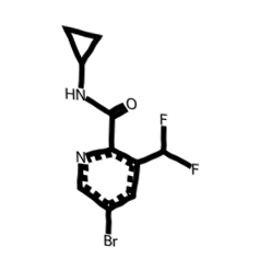 O=C(NC1CC1)c1ncc(Br)cc1C(F)F